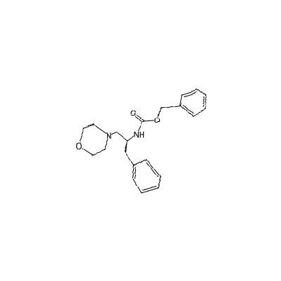 O=C(N[C@@H](Cc1ccccc1)CN1CCOCC1)OCc1ccccc1